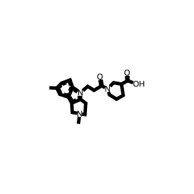 Cc1ccc2c(c1)c1c(n2CCC(=O)N2CCCC(C(=O)O)C2)CCN(C)C1